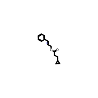 O=C(CCC1CC1)OC/C=C/c1ccccc1